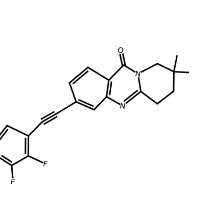 CC1(C)CCc2nc3cc(C#Cc4ccnc(F)c4F)ccc3c(=O)n2C1